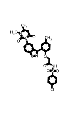 Cc1ccc(OCC(=O)NS(=O)(=O)c2ccc(Cl)cc2)c(-c2nsc3ccc(-n4c(=O)cc(C(F)(F)F)n(C)c4=O)cc23)c1